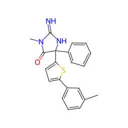 Cc1cccc(-c2ccc(C3(c4ccccc4)NC(=N)N(C)C3=O)s2)c1